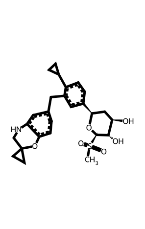 CS(=O)(=O)[C@H]1O[C@@H](c2ccc(C3CC3)c(Cc3ccc4c(c3)NCC3(CC3)O4)c2)C[C@@H](O)[C@@H]1O